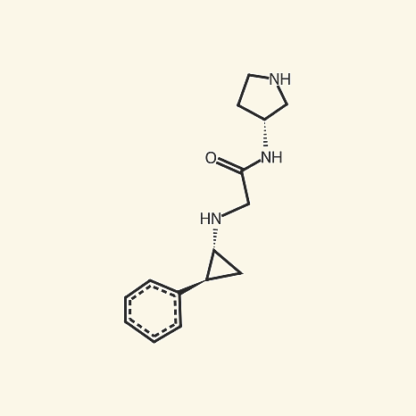 O=C(CN[C@@H]1C[C@H]1c1ccccc1)N[C@@H]1CCNC1